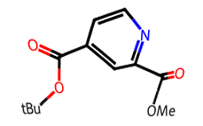 COC(=O)c1cc(C(=O)OC(C)(C)C)ccn1